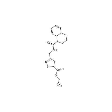 CCOC(=O)C1CC(CNC(=O)C2CCCC3C=CC=CC32)=NO1